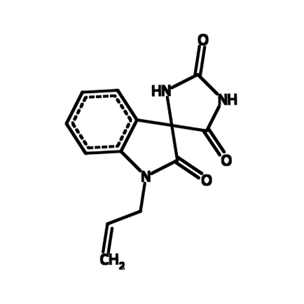 C=CCN1C(=O)C2(NC(=O)NC2=O)c2ccccc21